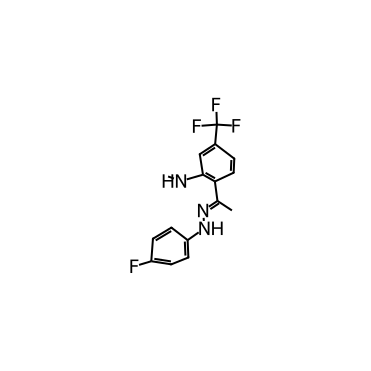 CNc1cc(C(F)(F)F)ccc1/C(C)=N/Nc1ccc(F)cc1